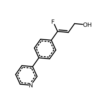 OCC=C(F)c1ccc(-c2cccnc2)cc1